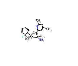 COC1(F)C=CC=CC1C(C)(C)CC(N)(Cc1cc(C)cc(C)n1)C(F)(F)F